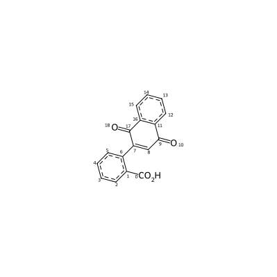 O=C(O)c1ccccc1C1=CC(=O)c2ccccc2C1=O